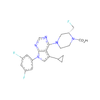 O=C(O)N1CCN(c2ncnc3c2c(C2CC2)cn3-c2cc(F)cc(F)c2)C[C@@H]1CF